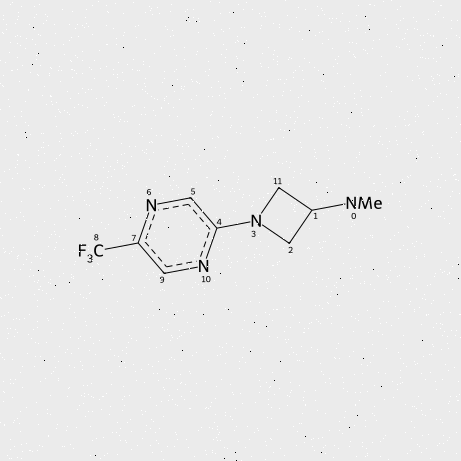 CNC1CN(c2cnc(C(F)(F)F)cn2)C1